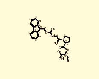 O=C(NCC(=O)N1CCC[C@H]1C(=O)N[C@@H](CO)C(=O)O)OCC1c2ccccc2-c2ccccc21